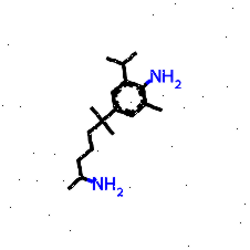 Cc1cc(C(C)(C)CCCC(C)N)cc(C(C)C)c1N